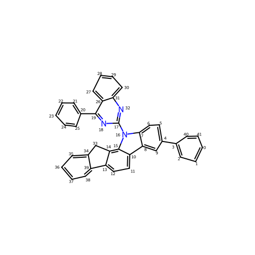 c1ccc(-c2ccc3c(c2)c2ccc4c(c2n3-c2nc(-c3ccccc3)c3ccccc3n2)Cc2ccccc2-4)cc1